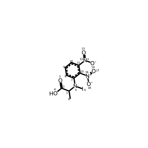 CC(C(=O)O)N(I)c1cccc([N+](=O)[O-])c1[N+](=O)[O-]